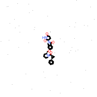 O=C1CCC(N2Cc3cc(OC[C@@H]4CCCCN4C(=O)[C@@H]4C[C@@H]4c4ccccc4)ccc3C2=O)C(=O)N1